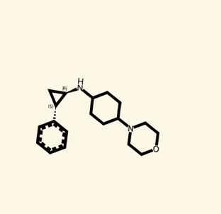 c1ccc([C@@H]2C[C@H]2NC2CCC(N3CCOCC3)CC2)cc1